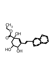 CCOC(=O)[C@]1(O)C=C(/C=C/c2ccc3ccccc3c2)[C@@H](O)C(O)C1